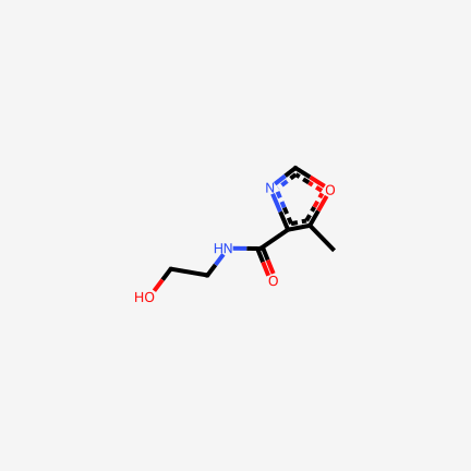 Cc1ocnc1C(=O)NCCO